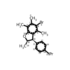 Cc1c(C)c2c(c(C)c1Br)[C@@H](c1ccc(C(C)C)cc1)[C@@H](C)O2